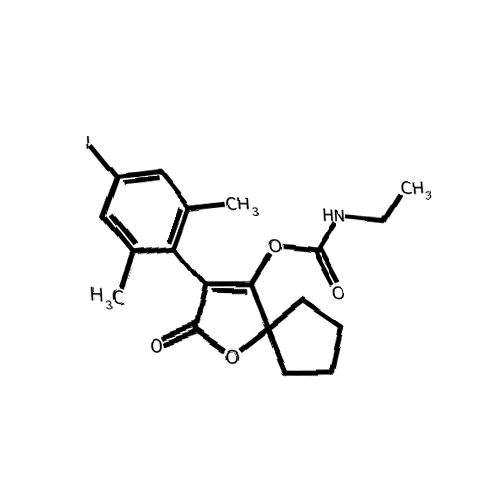 CCNC(=O)OC1=C(c2c(C)cc(I)cc2C)C(=O)OC12CCCC2